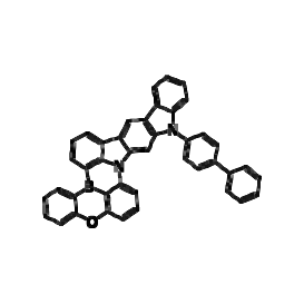 c1ccc(-c2ccc(-n3c4ccccc4c4cc5c6cccc7c6n(c5cc43)-c3cccc4c3B7c3ccccc3O4)cc2)cc1